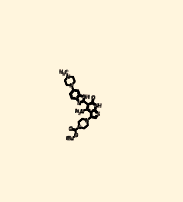 CN1CCN(c2ccc3nc(-c4c(N)c5c(N6CCN(C(=O)OC(C)(C)C)CC6)csc5[nH]c4=O)[nH]c3c2)CC1